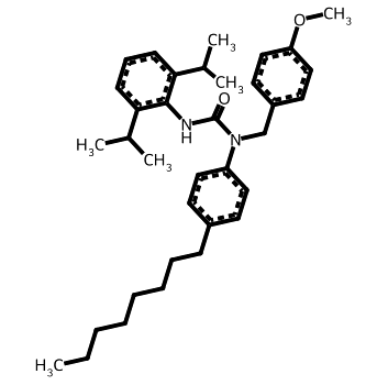 CCCCCCCCc1ccc(N(Cc2ccc(OC)cc2)C(=O)Nc2c(C(C)C)cccc2C(C)C)cc1